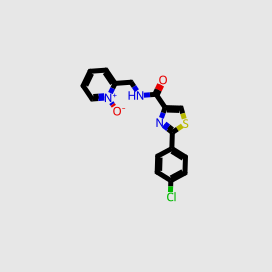 O=C(NCc1cccc[n+]1[O-])c1csc(-c2ccc(Cl)cc2)n1